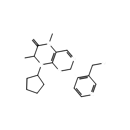 CCC1C(=O)N(C)C2=C(N[C@@H](c3ccncc3CN)N=C2)N1C1CCCC1